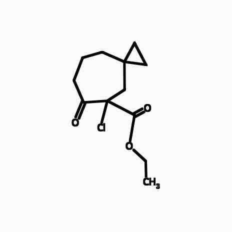 CCOC(=O)C1(Cl)CC2(CCCC1=O)CC2